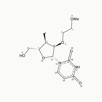 COCCO[C@@H]1[C@H](C)[C@@H](CO)O[C@H]1n1ccc(=O)[nH]c1=O